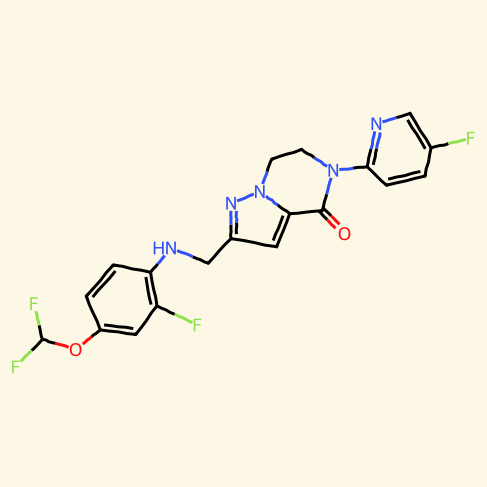 O=C1c2cc(CNc3ccc(OC(F)F)cc3F)nn2CCN1c1ccc(F)cn1